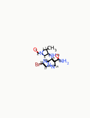 CC1CN(C=O)CC1Nc1c(C(N)=O)cnn2cc(Br)nc12